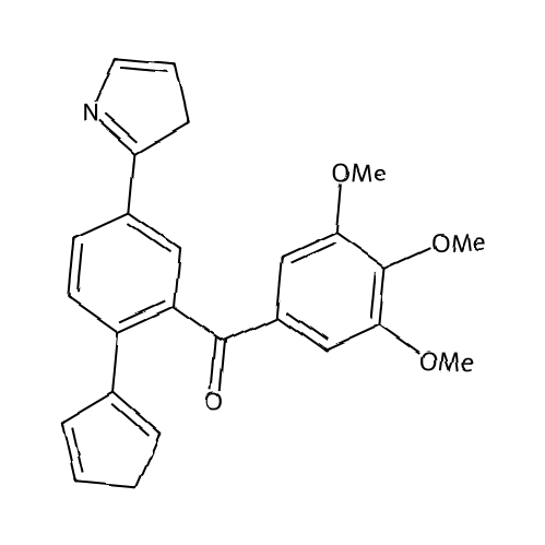 COc1cc(C(=O)c2cc(C3=NC=CC3)ccc2C2=CCC=C2)cc(OC)c1OC